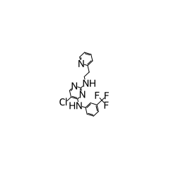 FC(F)(F)c1cccc(Nc2nc(NCCc3ccccn3)ncc2Cl)c1